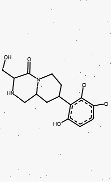 O=C1C(CO)NCC2CC(c3c(O)ccc(Cl)c3Cl)CCN12